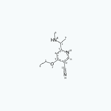 CCOc1cc(C(C)NC)ncc1C#N